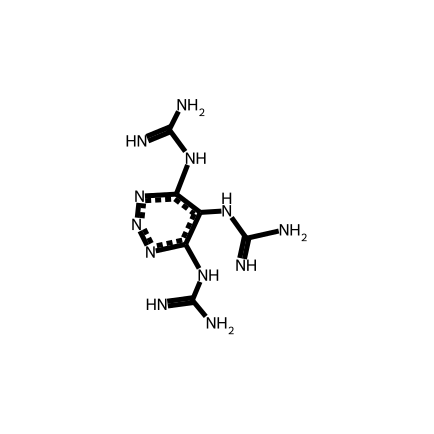 N=C(N)Nc1nnnc(NC(=N)N)c1NC(=N)N